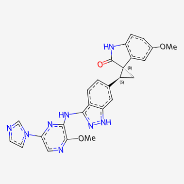 COc1ccc2c(c1)[C@]1(C[C@H]1c1ccc3c(Nc4nc(-n5ccnc5)cnc4OC)n[nH]c3c1)C(=O)N2